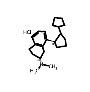 CN(C)[C@@H]1CCc2cccc([C@@H]3CCCC3C3CCCC3)c2C1.Cl